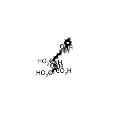 Cc1ccc(NC(=O)NCCCC=C[C@H](NC(=O)N[C@@H](CCC(=O)O)C(=O)O)C(=O)O)cc1